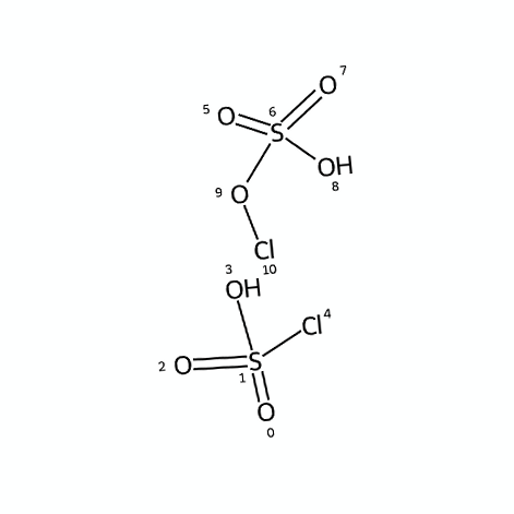 O=S(=O)(O)Cl.O=S(=O)(O)OCl